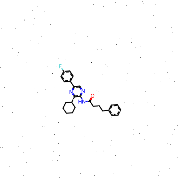 O=C(CCCc1ccccc1)Nc1ncc(-c2ccc(F)cc2)nc1C1CCCCC1